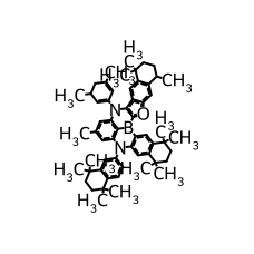 CC1=CC(N2c3cc(C)cc4c3B(c3cc5c(cc3N4c3ccc4c(c3)C(C)(C)CCC4(C)C)C(C)(C)CCC5(C)C)c3oc4cc5c(cc4c32)C(C)(C)CCC5C)=CC(C)C1